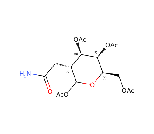 CC(=O)OC[C@H]1OC(OC(C)=O)[C@H](CC(N)=O)[C@@H](OC(C)=O)[C@H]1OC(C)=O